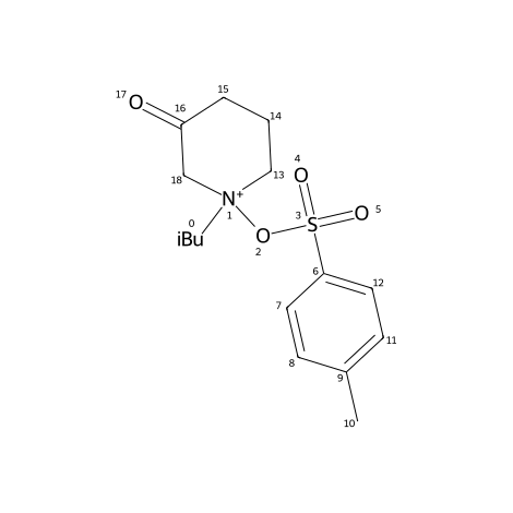 CCC(C)[N+]1(OS(=O)(=O)c2ccc(C)cc2)CCCC(=O)C1